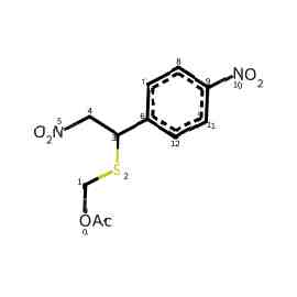 CC(=O)OCSC(C[N+](=O)[O-])c1ccc([N+](=O)[O-])cc1